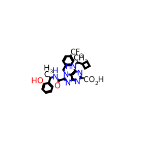 C[C@@H](NC(=O)c1nc2nc(C(=O)O)nc(N[C@H](C)C3CCC3)c2n1Cc1ccc(C(F)(F)F)cc1)c1ccccc1O